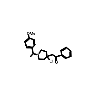 COc1ccc(C(C)N2CCC(Cl)(CC(=O)c3ccccc3)CC2)cc1